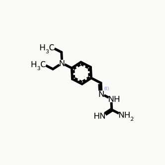 CCN(CC)c1ccc(/C=N/NC(=N)N)cc1